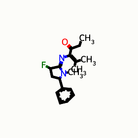 CCC(=O)C(/N=C1/C(F)CC(c2ccccc2)N1C)=C(C)C